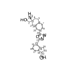 NC1(CO)CCc2ccc(-c3nnc(-c4cccc5c4CCC5O)o3)cc2C1